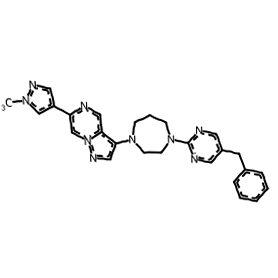 Cn1cc(-c2cn3ncc(N4CCCN(c5ncc(Cc6ccccc6)cn5)CC4)c3cn2)cn1